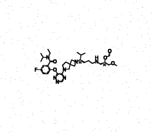 CCN(C(=O)c1cc(F)ccc1Oc1nncnc1N1CCC2(C1)CN([C@H](CCCNC[C@H](COC)OC=O)C(C)C)C2)C(C)C